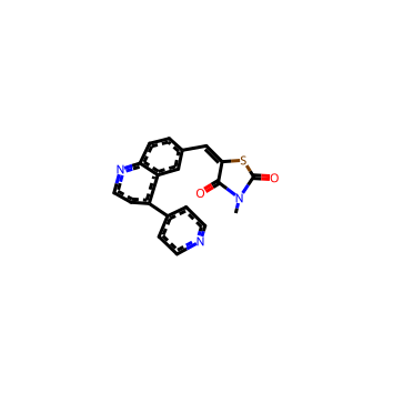 CN1C(=O)SC(=Cc2ccc3nccc(-c4ccncc4)c3c2)C1=O